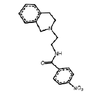 O=C(NCCN1CCc2ccccc2C1)c1ccc([N+](=O)[O-])cc1